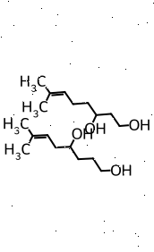 CC(C)=CCC(O)CCCO.CC(C)=CCCC(O)CCO